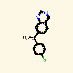 C[C@H](c1ccc(Cl)cc1)c1ccc2cncnc2c1